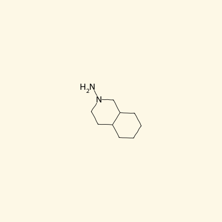 NN1CCC2CCCCC2C1